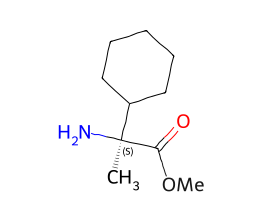 COC(=O)[C@@](C)(N)C1CCCCC1